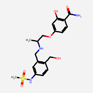 CC(COc1ccc(C(N)=O)c(O)c1)NCc1cc(NS(C)(=O)=O)ccc1CO